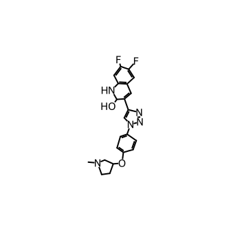 CN1CCC(Oc2ccc(-n3cc(C4=Cc5cc(F)c(F)cc5NC4O)nn3)cc2)C1